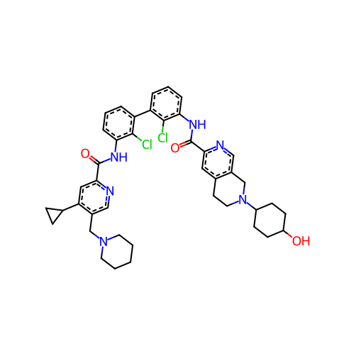 O=C(Nc1cccc(-c2cccc(NC(=O)c3cc(C4CC4)c(CN4CCCCC4)cn3)c2Cl)c1Cl)c1cc2c(cn1)CN(C1CCC(O)CC1)CC2